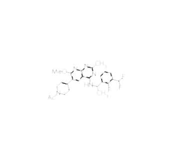 COc1nc2nc(C)nc(N[C@H](C)c3cccc(C(F)F)c3F)c2cc1C1=CCN(C(C)=O)CC1